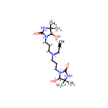 C#CCN(CCCN1C(=O)NC(C)(C)C1O)CCCN1C(=O)NC(C)(C)C1O